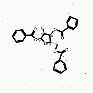 O=C(OC[C@@H]1O[C@@H](OC(=O)c2ccccc2)[C@@H](F)[C@H]1OC(=O)c1ccccc1)c1ccccc1